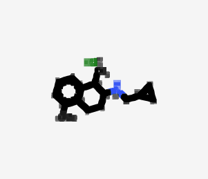 COc1cccc2c1CCC(NCC1CC1)C2C.Cl